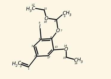 C=Cc1cc(I)c(OC(C)OCC)c(OCC)c1